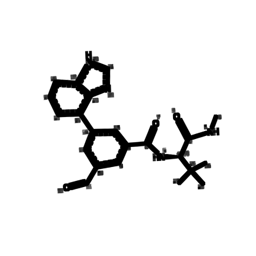 CNC(=O)[C@H](NC(=O)c1cc(C=O)cc(-c2cccc3[nH]cnc23)c1)C(C)(C)C